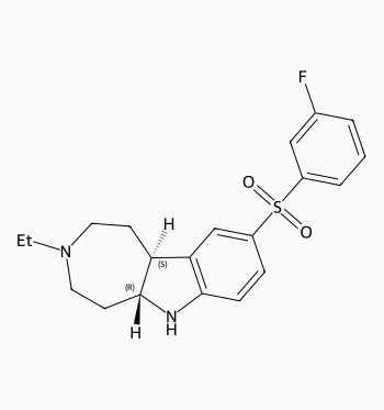 CCN1CC[C@H]2Nc3ccc(S(=O)(=O)c4cccc(F)c4)cc3[C@@H]2CC1